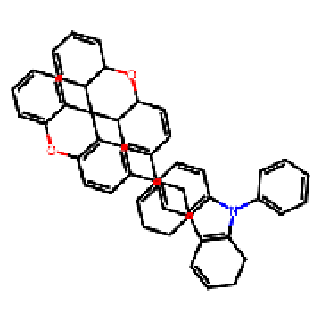 C1=CC2OC3C=CC(C4=CCCCC4)=CC3C3(c4ccccc4Oc4ccc(-c5ccc6c(c5)c5c(n6-c6ccccc6)CCC=C5)cc43)C2C=C1